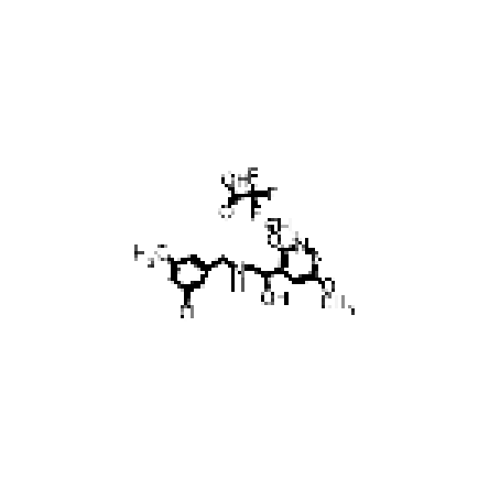 COc1cc(C(O)CNCc2cc(C)cc(Cl)c2)c(OC)nn1.O=C(O)C(F)(F)F